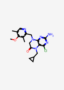 COc1c(C)cnc(CN2CC(=O)N(CC3CC3)c3c(Cl)nc(N)nc32)c1C